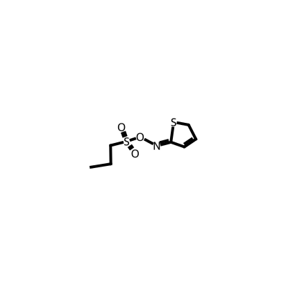 CCCS(=O)(=O)ON=C1C=CCS1